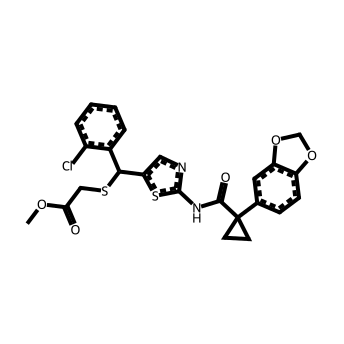 COC(=O)CSC(c1cnc(NC(=O)C2(c3ccc4c(c3)OCO4)CC2)s1)c1ccccc1Cl